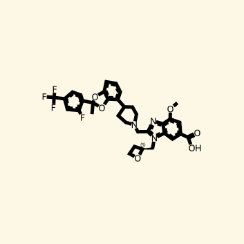 COc1cc(C(=O)O)cc2c1nc(CN1CCC(c3cccc4c3OC(C)(c3ccc(C(F)(F)F)cc3F)O4)CC1)n2C[C@@H]1CCO1